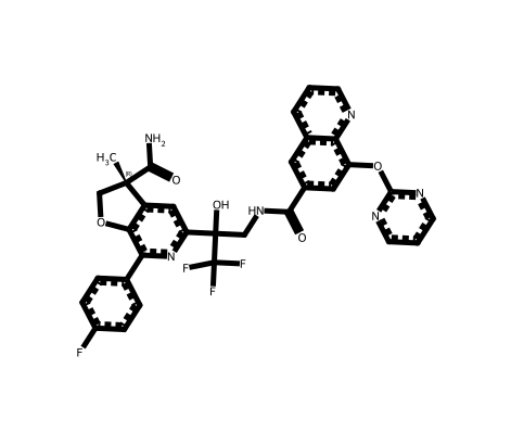 C[C@]1(C(N)=O)COc2c1cc(C(O)(CNC(=O)c1cc(Oc3ncccn3)c3ncccc3c1)C(F)(F)F)nc2-c1ccc(F)cc1